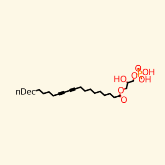 CCCCCCCCCCCCCCC#CC#CCCCCCCCCC(=O)OCC(O)COP(=O)(O)O